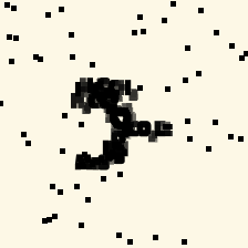 CCOC(=O)C1(COc2nsc(SC)n2)CC=C(B2CC(C)(C)C(C)(C)C2)CC1